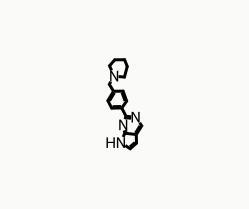 c1cc2cnc(-c3ccc(CN4CCCCC4)cc3)nc2[nH]1